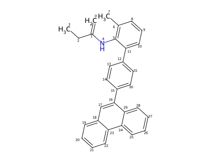 C=C(CC)Nc1c(C)cccc1-c1ccc(-c2cc3ccccc3c3ccccc23)cc1